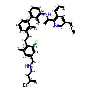 C=C=Cc1cnc(C(=C)Nc2cccc(-c3cccc(CCc4c(C)cc(CNCCC(=C)CC)cc4Cl)c3C)c2C)c(/C=C\C)c1